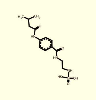 CC(C)CC(=O)Nc1ccc(C(=O)NCCNP(=O)(O)S)cc1